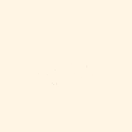 NC(=O)C(F)(F)c1ccccc1OC(F)(F)F